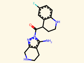 Nc1c2c(nn1C(=O)C1CCNc3ccc(F)cc31)CNCC2